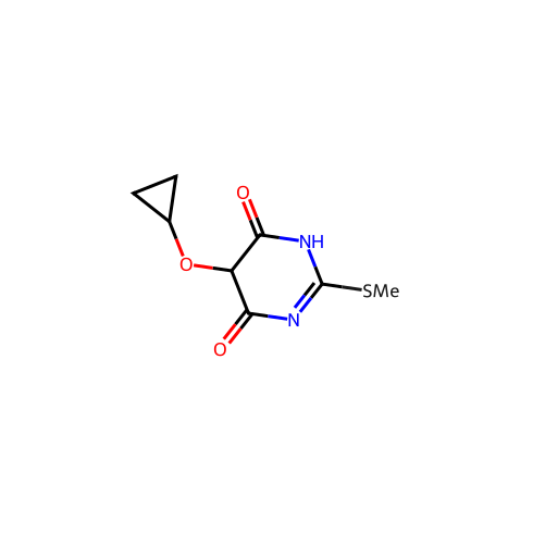 CSC1=NC(=O)C(OC2CC2)C(=O)N1